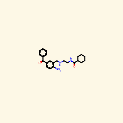 Nc1ccc(C(=O)c2ccccc2)cc1CNCCNC(=O)C1CCCCC1